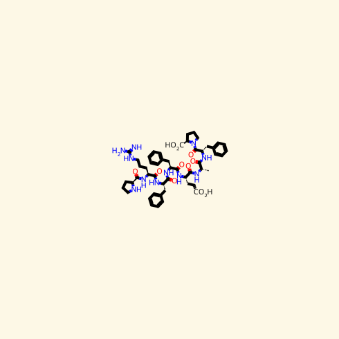 C[C@H](NC(=O)[C@H](CCC(=O)O)NC(=O)[C@H](Cc1ccccc1)NC(=O)[C@H](Cc1ccccc1)NC(=O)[C@H](CCCNC(=N)N)NC(=O)[C@@H]1CCCN1)C(=O)N[C@@H](Cc1ccccc1)C(=O)N1CCC[C@@H]1C(=O)O